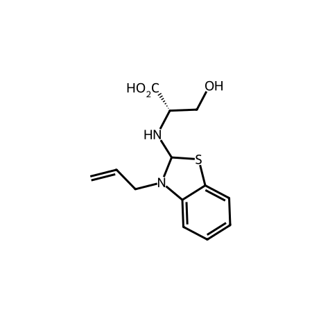 C=CCN1c2ccccc2SC1N[C@@H](CO)C(=O)O